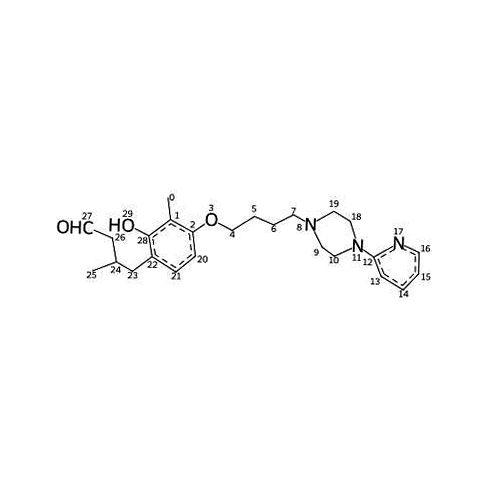 Cc1c(OCCCCN2CCN(c3ccccn3)CC2)ccc(CC(C)CC=O)c1O